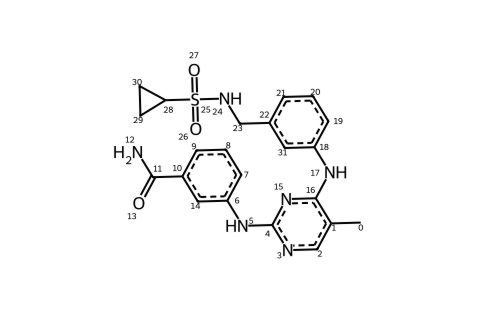 Cc1cnc(Nc2cccc(C(N)=O)c2)nc1Nc1cccc(CNS(=O)(=O)C2CC2)c1